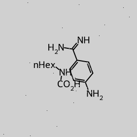 CCCCCCNC(=O)O.N=C(N)c1ccc(N)cc1